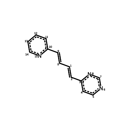 C(/C=C/c1ccncn1)=C\c1ccccn1